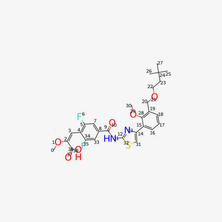 CO/C(=C/c1c(F)cc(C(=O)Nc2nc(-c3cccc(COCCC(C)(C)C)c3OC)cs2)cc1F)C(=O)O